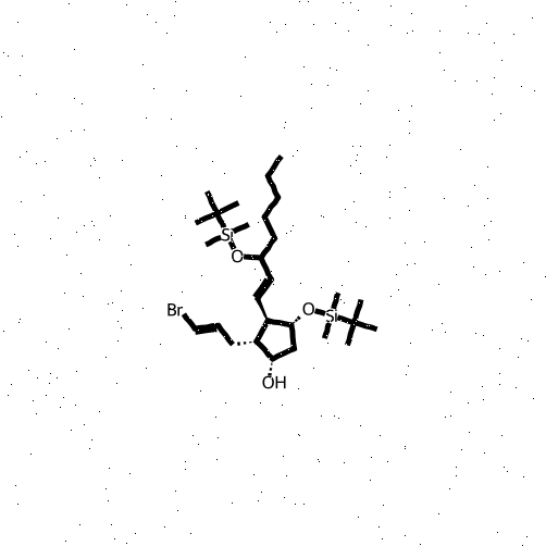 CCCCCC(/C=C/[C@@H]1[C@@H](CC=CBr)[C@@H](O)C[C@H]1O[Si](C)(C)C(C)(C)C)O[Si](C)(C)C(C)(C)C